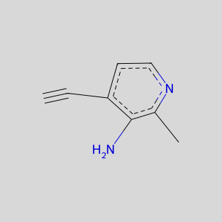 C#Cc1ccnc(C)c1N